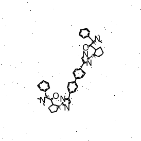 CN(C)[C@@H](C(=O)C1CCC[C@H]1c1nc(-c2ccc(-c3ccc(-c4cn(C)c([C@@H]5CCCC5C(=O)[C@@H](c5ccccc5)N(C)C)n4)cc3)cc2)cn1C)c1ccccc1